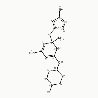 CC(C)c1cc(CC2(N)N=C(N)C=C(OC3CCN(C)CC3)N2)on1